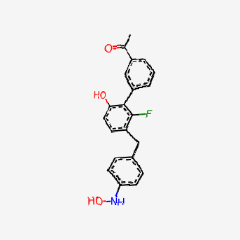 CC(=O)c1cccc(-c2c(O)ccc(Cc3ccc(NO)cc3)c2F)c1